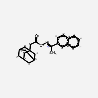 C/C(=N\OC(=O)CC12CC3CC(CC(C3)C1)C2)c1ccc2ccccc2c1